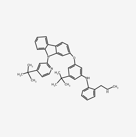 CNCc1ccccc1Nc1cc(Oc2ccc3c4ccccc4n(-c4cc(C(C)(C)C)ccn4)c3c2)cc(C(C)(C)C)c1